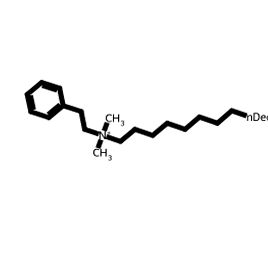 CCCCCCCCCCCCCCCCCC[N+](C)(C)CCc1ccccc1